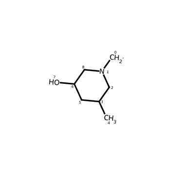 [CH2]N1CC(C)CC(O)C1